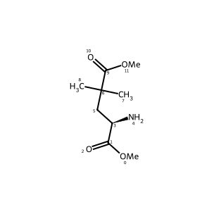 COC(=O)[C@H](N)CC(C)(C)C(=O)OC